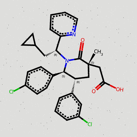 C[C@@]1(CC(=O)O)C[C@H](c2cccc(Cl)c2)[C@@H](c2ccc(Cl)cc2)N([C@H](CC2CC2)c2ccccn2)C1=O